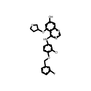 Oc1cc(OC2CCOC2)c2c(Nc3ccc(OCc4cccc(F)c4)c(Cl)c3)ncnc2c1